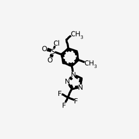 CCc1cc(C)c(-n2cnc(C(F)(F)F)n2)cc1S(=O)(=O)Cl